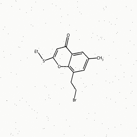 CCSc1cc(=O)c2cc(C)cc(CCBr)c2o1